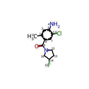 Cc1cc(N)c(Cl)cc1C(=O)N1CCC(F)C1